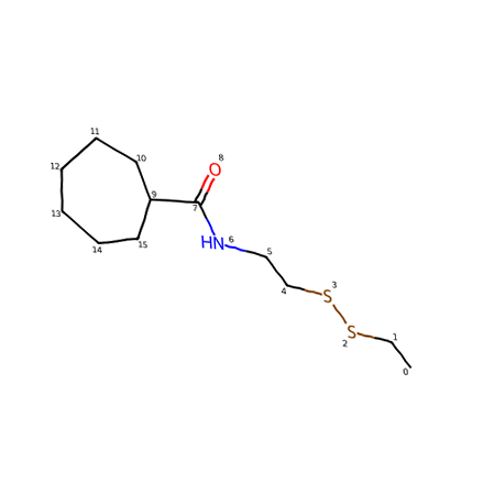 CCSSCCNC(=O)C1CCCCCC1